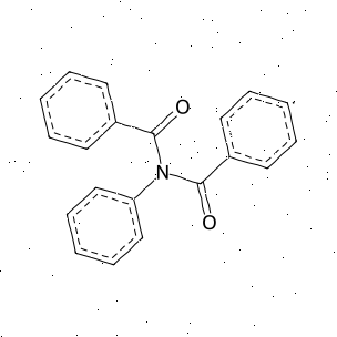 O=C(c1cc[c]cc1)N(C(=O)c1ccccc1)c1ccccc1